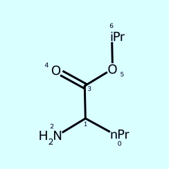 CCCC(N)C(=O)OC(C)C